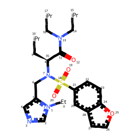 CCn1cncc1CN([C@@H](CC(C)C)C(=O)N(CC(C)C)CC(C)C)S(=O)(=O)c1ccc2occc2c1